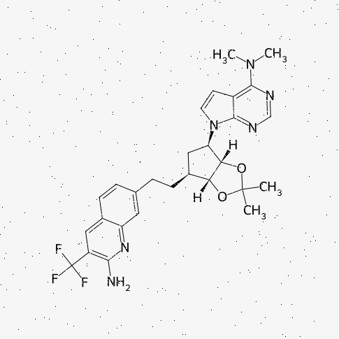 CN(C)c1ncnc2c1ccn2[C@@H]1C[C@H](CCc2ccc3cc(C(F)(F)F)c(N)nc3c2)[C@H]2OC(C)(C)O[C@H]21